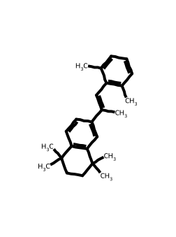 CC(=Cc1c(C)cccc1C)c1ccc2c(c1)C(C)(C)CCC2(C)C